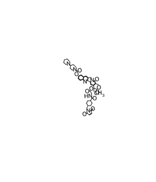 CCC1(OC(=O)CNC(=O)C2CCC(CN3C(=O)C=CC3=O)CC2)C(=O)OCc2c1cc1n(c2=O)Cc2cc3cc(OC(=O)N4CCC(N5CCCCC5)CC4)ccc3nc2-1